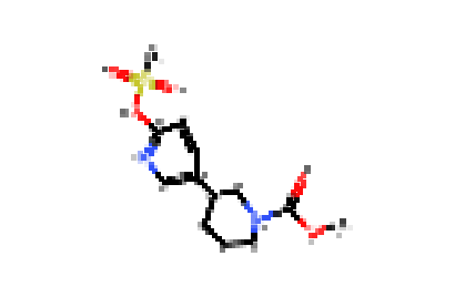 CC(C)(C)OC(=O)N1CCC[C@@H](c2ccc(OS(=O)(=O)C(F)(F)F)nc2)C1